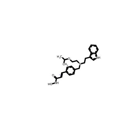 CC(C)OCCN(CCc1c[nH]c2ccccc12)Cc1ccc(/C=C/C(=O)NO)cc1